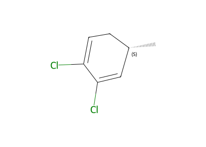 C[C@@H]1C=C(Cl)C(Cl)=CC1